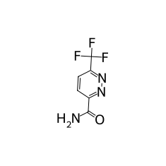 NC(=O)c1ccc(C(F)(F)F)nn1